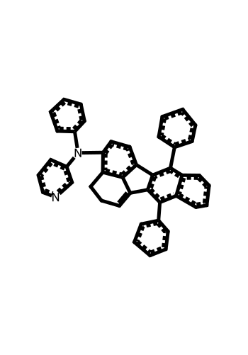 C1=C2c3c(ccc(N(c4ccccc4)c4cccnc4)c3CC1)-c1c2c(-c2ccccc2)c2ccccc2c1-c1ccccc1